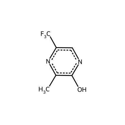 Cc1nc(C(F)(F)F)cnc1O